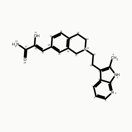 Cc1[nH]c2ncccc2c1CCN1CCc2ccc(/C=C(\O)C(N)=O)cc2C1